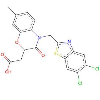 Cc1ccc2c(c1)OC(CC(=O)O)C(=O)N2Cc1nc2cc(Cl)c(Cl)cc2s1